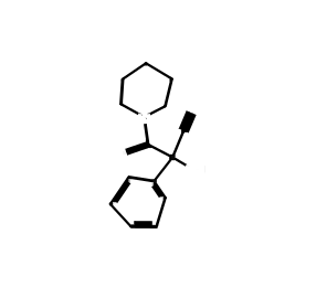 C#CC(O)(C(=O)N1CC[CH]CC1)c1ccccc1